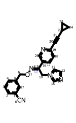 N#Cc1cccc(CO/N=C(\Cn2ccnc2)c2ccc(C#CC3CC3)nc2)c1